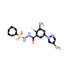 Cc1cnn(-c2cc(C)c(F)c(C(=O)NNS(=O)(=O)c3ccccc3)c2)c1